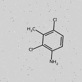 Cc1c(Cl)ccc(N)c1Cl